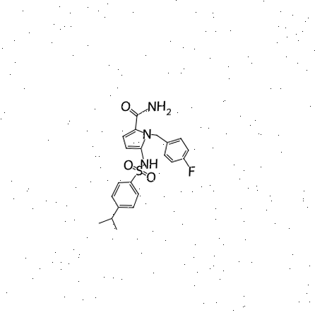 CC(C)c1ccc(S(=O)(=O)Nc2ccc(C(N)=O)n2Cc2ccc(F)cc2)cc1